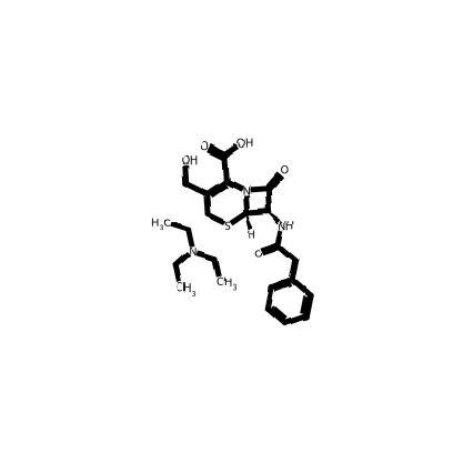 CCN(CC)CC.O=C(Cc1ccccc1)N[C@@H]1C(=O)N2C(C(=O)O)=C(CO)CS[C@@H]12